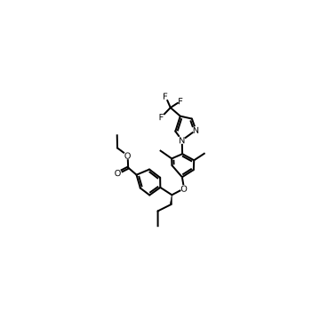 CCC[C@H](Oc1cc(C)c(-n2cc(C(F)(F)F)cn2)c(C)c1)c1ccc(C(=O)OCC)cc1